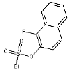 CCS(=O)(=O)Oc1ccc2ccccc2c1F